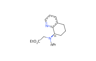 CCCN(CC(=O)OCC)[C@@H]1CCCc2cccnc21